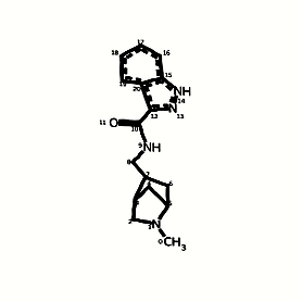 CN1CC2CC1CC2CNC(=O)c1n[nH]c2ccccc12